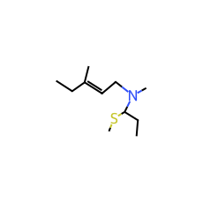 CC/C(C)=C/CN(C)C(CC)SC